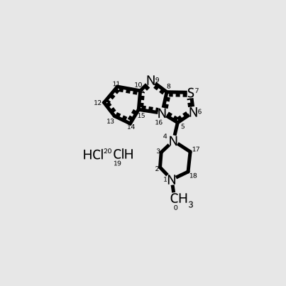 CN1CCN(c2nsc3nc4ccccc4n23)CC1.Cl.Cl